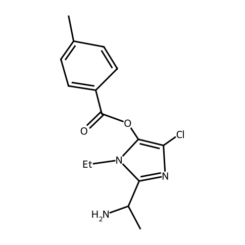 CCn1c(C(C)N)nc(Cl)c1OC(=O)c1ccc(C)cc1